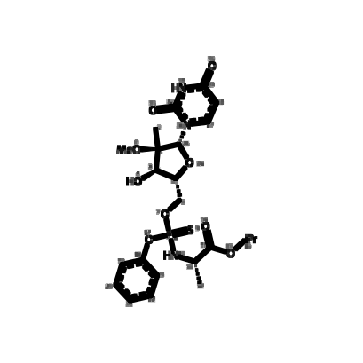 CO[C@]1(C)[C@H](O)[C@@H](COP(=S)(N[C@@H](C)C(=O)OC(C)C)Oc2ccccc2)O[C@H]1n1ccc(=O)[nH]c1=O